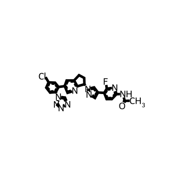 CC(=O)Nc1ccc(-c2cnn(C3CCc4cc(-c5cc(Cl)ccc5-n5cnnn5)cnc43)c2)c(F)n1